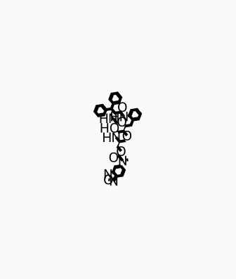 CN(C(=O)OC[C@@H]1CO[C@H](CCc2ccccc2NC(=O)[C@@H](NC(=O)O)C(c2ccccc2)c2ccccc2)CN1)c1ccc2nonc2c1